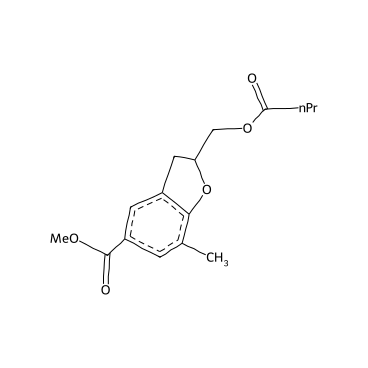 CCCC(=O)OCC1Cc2cc(C(=O)OC)cc(C)c2O1